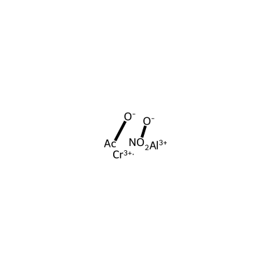 CC(=O)[O-].O=[N+]([O-])[O-].[Al+3].[Cr+3]